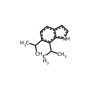 CC(C)c1ccc2cc[nH]c2c1C(C)C